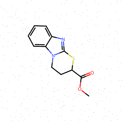 COC(=O)C1CCn2c(nc3ccccc32)S1